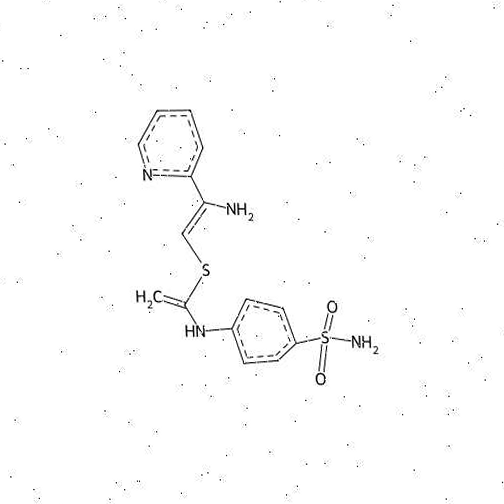 C=C(Nc1ccc(S(N)(=O)=O)cc1)S/C=C(\N)c1ccccn1